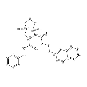 O=C(OCc1ccccc1)[C@@H]1C[C@@H]2CCC[C@@H]2N1C(=O)CCCc1ccc2ccccc2c1